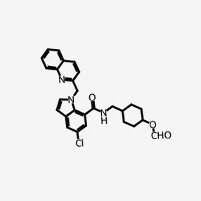 O=COC1CCC(CNC(=O)c2cc(Cl)cc3ccn(Cc4ccc5ccccc5n4)c23)CC1